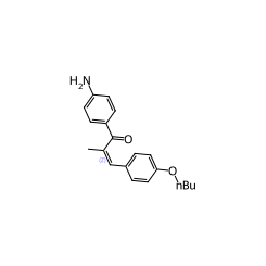 CCCCOc1ccc(/C=C(/C)C(=O)c2ccc(N)cc2)cc1